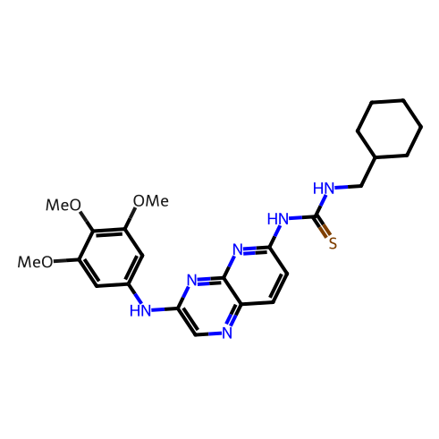 COc1cc(Nc2cnc3ccc(NC(=S)NCC4CCCCC4)nc3n2)cc(OC)c1OC